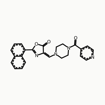 O=C1OC(c2cccc3ccccc23)=N/C1=C/N1CCN(C(=O)c2ccncc2)CC1